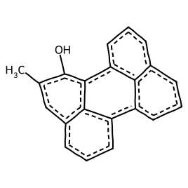 Cc1cc2cccc3c4cccc5cccc(c(c1O)c23)c54